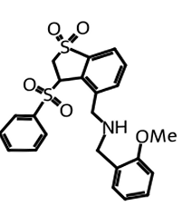 COc1ccccc1CNCc1cccc2c1C(S(=O)(=O)c1ccccc1)CS2(=O)=O